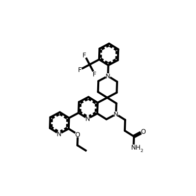 CCOc1ncccc1-c1ccc2c(n1)CN(CCC(N)=O)CC21CCN(c2ccccc2C(F)(F)F)CC1